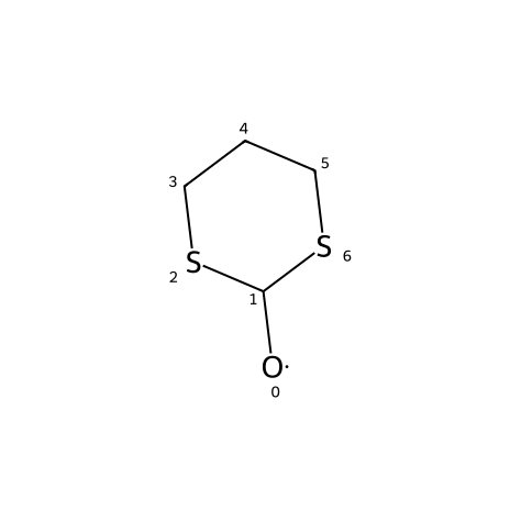 [O]C1SCCCS1